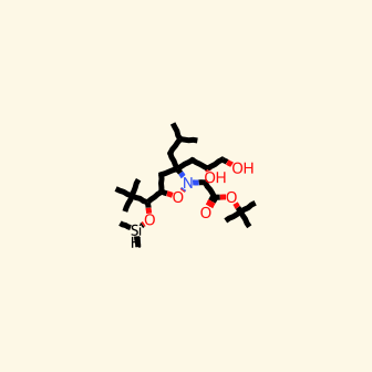 CC(C)CC1(CC(O)CO)CC(C(O[SiH](C)C)C(C)(C)C)ON1CC(=O)OC(C)(C)C